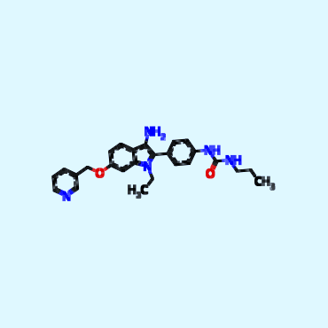 CCCNC(=O)Nc1ccc(-c2c(N)c3ccc(OCc4cccnc4)cc3n2CC)cc1